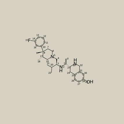 C=C(N[C@H](CN1CC[C@@](C)(c2cccc(F)c2)[C@@H](C)C1)C(C)C)[C@H]1Cc2ccc(O)cc2CN1